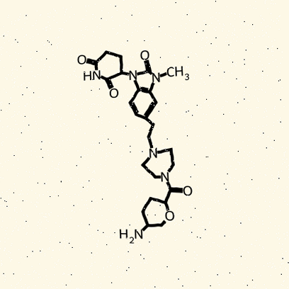 Cn1c(=O)n(C2CCC(=O)NC2=O)c2ccc(CCN3CCN(C(=O)C4CCC(N)CO4)CC3)cc21